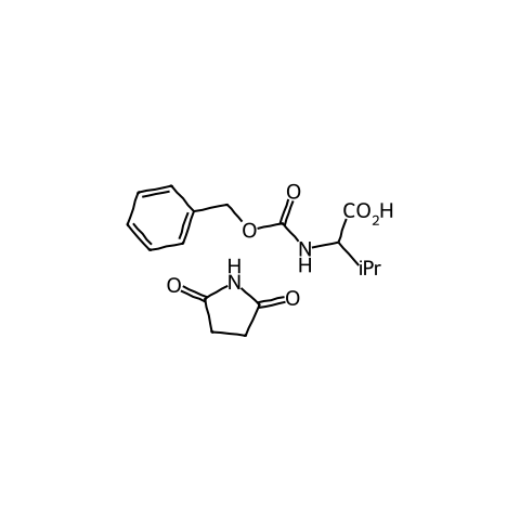 CC(C)C(NC(=O)OCc1ccccc1)C(=O)O.O=C1CCC(=O)N1